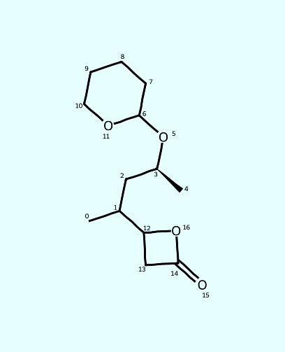 CC(C[C@H](C)OC1CCCCO1)C1CC(=O)O1